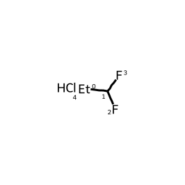 CCC(F)F.Cl